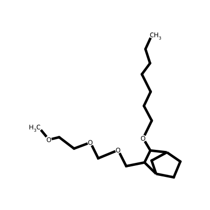 CCCCCCCOC1C2CCC(C2)C1COCOCCOC